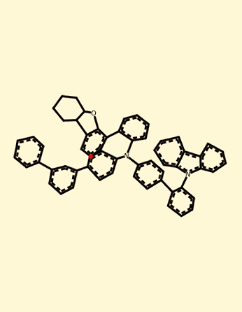 c1ccc(-c2cccc(-c3ccc(N(c4ccc(-c5ccccc5-n5c6ccccc6c6ccccc65)cc4)c4ccccc4-c4cccc5c4OC4CCCCC54)cc3)c2)cc1